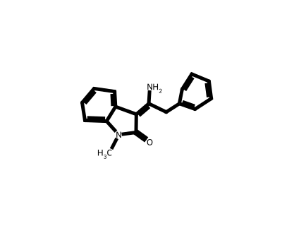 CN1C(=O)/C(=C(/N)Cc2ccccc2)c2ccccc21